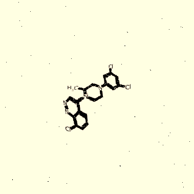 CC1CN(c2cc(Cl)cc(Cl)c2)CCN1c1cnnc2c(Cl)cccc12